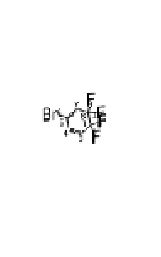 FC1(F)C=CC(Br)=CC1(F)F